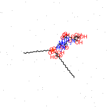 CCCCCCCCCCCCCCCC(=O)OP(=O)(OCCN[C@@](C)(N)C(=O)N[C@H](CCC(=O)N(CC(C)O[C@@H]1[C@@H](N)[C@@H](O)O[C@H](CO)[C@H]1O)[C@](C)(C(C)=O)C(=O)O)C(N)=O)OC[C@H](O)[C@@H](O)C(=O)CCCCCCCCCCCCCCC